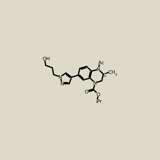 CC(=O)N1c2ccc(-c3cnn(CCCO)c3)cc2N(C(=O)OC(C)C)C[C@@H]1C